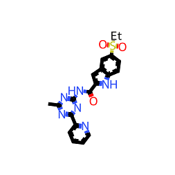 CCS(=O)(=O)c1ccc2[nH]c(C(=O)Nc3nc(C)nc(-c4ccccn4)n3)cc2c1